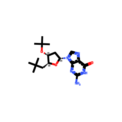 CC(C)(C)C[C@H]1O[C@@H](n2cnc3c(=O)[nH]c(N)nc32)C[C@H]1OC(C)(C)C